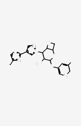 OC1C(SC2=CNCC(Cl)=C2)OC2COC2C1n1cc(-c2nc(Cl)cs2)cn1